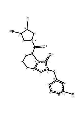 O=C(C1CCCc2nn(Cc3cccc(Br)c3)c(=O)n21)N1CC(F)C(F)C1